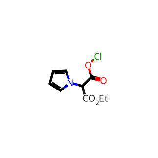 CCOC(=O)C(C(=O)OCl)n1cccc1